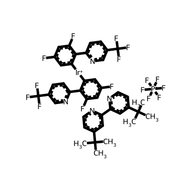 CC(C)(C)c1ccnc(-c2cc(C(C)(C)C)ccn2)c1.F[P-](F)(F)(F)(F)F.Fc1cc(F)c(-c2ccc(C(F)(F)F)cn2)[c]([Ir+][c]2cc(F)cc(F)c2-c2ccc(C(F)(F)F)cn2)c1